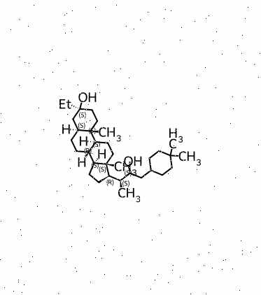 CC[C@]1(O)CC[C@@]2(C)[C@@H](CC[C@@H]3[C@@H]2CC[C@]2(C)[C@@H]([C@H](C)[C@@H](O)CC4CCC(C)(C)CC4)CC[C@@H]32)C1